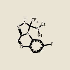 CCN(CC)C1(C(F)(F)F)NN=C2C=Nc3ccc(F)cc3N21